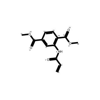 C=CC(=O)Nc1cc(C(=O)OC)ccc1C(=O)OC